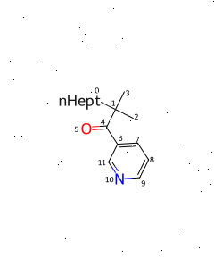 CCCCCCCC(C)(C)C(=O)c1cccnc1